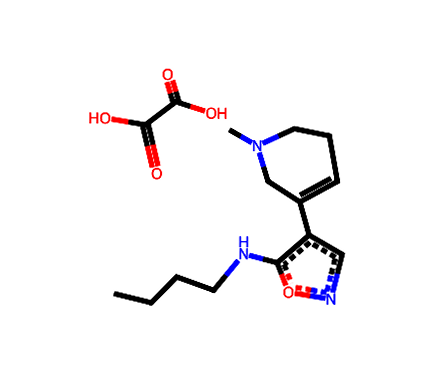 CCCCNc1oncc1C1=CCCN(C)C1.O=C(O)C(=O)O